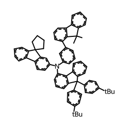 CC(C)(C)c1ccc(C2(c3ccc(C(C)(C)C)cc3)c3ccccc3-c3c(N(c4cccc(-c5cccc6c5C(C)(C)c5ccccc5-6)c4)c4ccc5c(c4)C4(CCCC4)c4ccccc4-5)cccc32)cc1